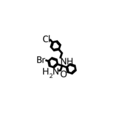 NC(=O)C(NCCc1ccc(Cl)cc1)(c1ccccc1)c1ccc(Br)cc1